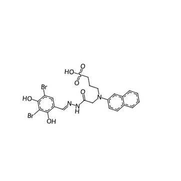 O=C(CN(CCCS(=O)(=O)O)c1ccc2ccccc2c1)N/N=C/c1cc(Br)c(O)c(Br)c1O